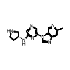 Cc1cc2ncn(-c3cncc(N[C@@H]4CCNC4)n3)c2cn1